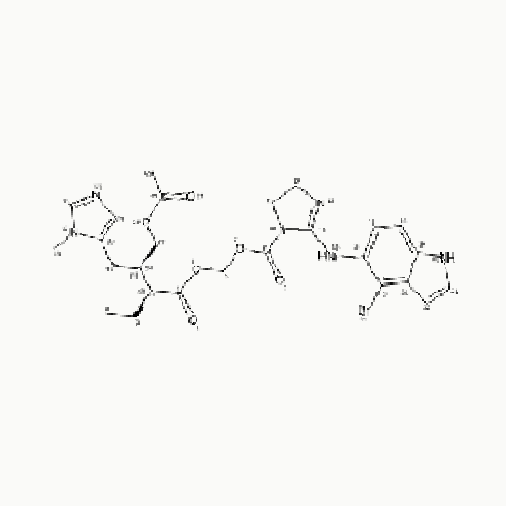 CC[C@H](C(=O)OCOC(=O)N1CCN=C1Nc1ccc2[nH]ccc2c1Br)[C@H](COC(C)=O)Cc1cncn1C